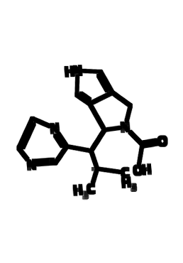 C[C](C)C(c1cnccn1)C1c2c[nH]cc2CN1C(=O)O